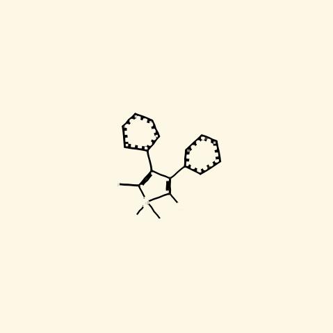 [Li][C]1=C(c2ccccc2)C(c2ccccc2)=[C]([Li])[Si]1(C)C